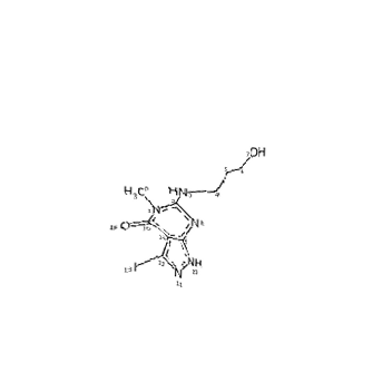 Cn1c(NCCCO)nc2[nH]nc(I)c2c1=O